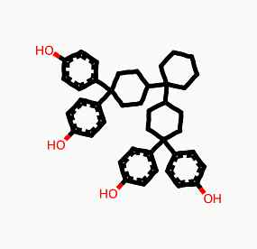 Oc1ccc(C2(c3ccc(O)cc3)CCC(C3(C4CCC(c5ccc(O)cc5)(c5ccc(O)cc5)CC4)CCCCC3)CC2)cc1